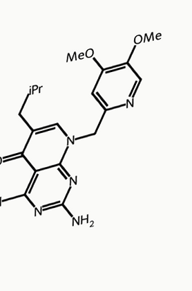 COc1cnc(Cn2cc(CC(C)C)c(=O)c3c(Cl)nc(N)nc32)cc1OC